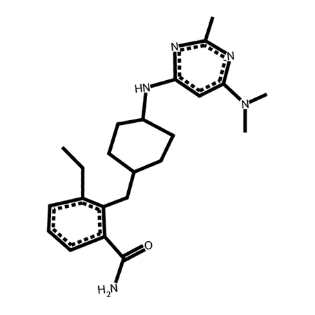 CCc1cccc(C(N)=O)c1CC1CCC(Nc2cc(N(C)C)nc(C)n2)CC1